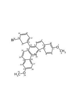 COc1ccc2c(ccc3c(C4=CC=CC(Br)C4)c4ccc5cc(OC)ccc5c4nc32)c1